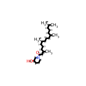 CC(=CC(=O)N1CCCC(O)C1)CCCC(C)CCCC(C)CCCC(C)C